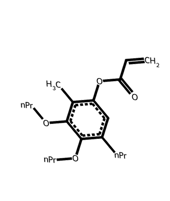 C=CC(=O)Oc1cc(CCC)c(OCCC)c(OCCC)c1C